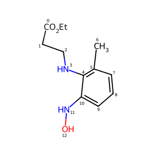 CCOC(=O)CCNc1c(C)cccc1NO